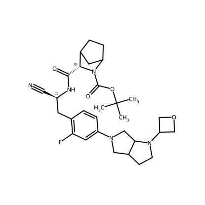 CC(C)(C)OC(=O)N1C2CCC(C2)[C@H]1C(=O)N[C@H](C#N)Cc1ccc(N2CC3CCN(C4COC4)C3C2)cc1F